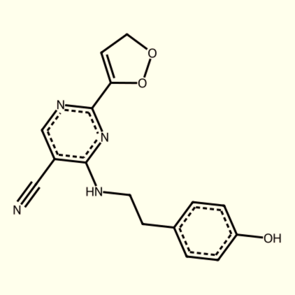 N#Cc1cnc(C2=CCOO2)nc1NCCc1ccc(O)cc1